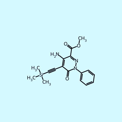 COC(=O)c1nn(-c2ccccc2)c(=O)c(C#C[Si](C)(C)C)c1N